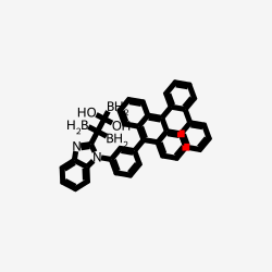 BC(O)(O)C(B)(B)c1nc2ccccc2n1-c1cccc(-c2c3ccccc3c(-c3ccccc3-c3ccccc3)c3ccccc23)c1